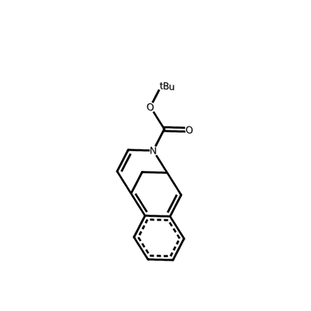 CC(C)(C)OC(=O)N1C=CC2=c3ccccc3=CC1C2